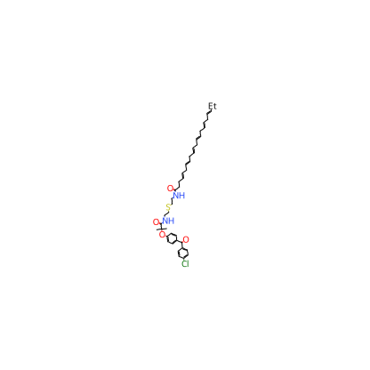 CCC=CCC=CCC=CCC=CCC=CCC=CCCC(=O)NCCSCCNC(=O)C(C)(C)Oc1ccc(C(=O)c2ccc(Cl)cc2)cc1